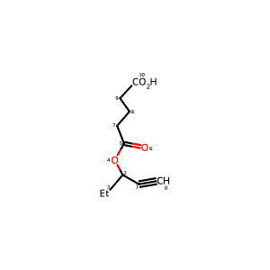 C#CC(CC)OC(=O)CCCC(=O)O